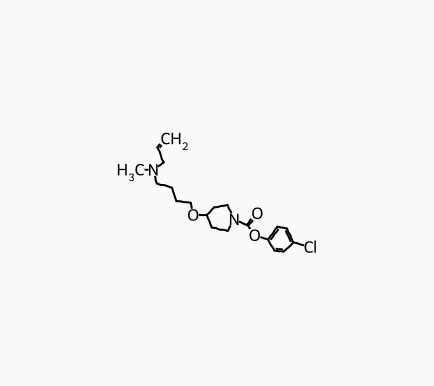 C=CCN(C)CCCCOC1CCN(C(=O)Oc2ccc(Cl)cc2)CC1